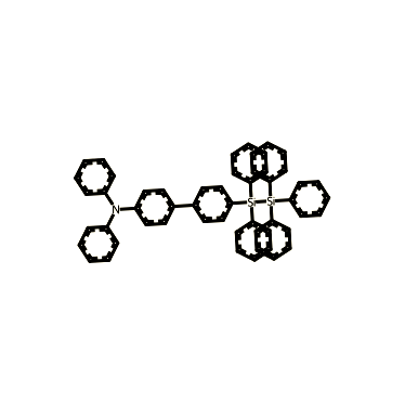 c1ccc(N(c2ccccc2)c2ccc(-c3ccc([Si](c4ccccc4)(c4ccccc4)[Si](c4ccccc4)(c4ccccc4)c4ccccc4)cc3)cc2)cc1